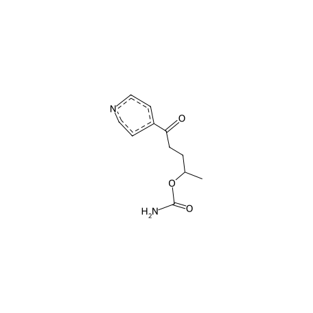 CC(CCC(=O)c1ccncc1)OC(N)=O